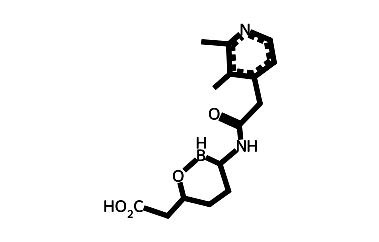 Cc1nccc(CC(=O)NC2BOC(CC(=O)O)CC2)c1C